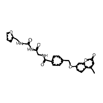 Cc1cc(=O)oc2cc(OCc3ccc(C(=O)NCC(=O)NC(=O)NCc4ccco4)cc3)ccc12